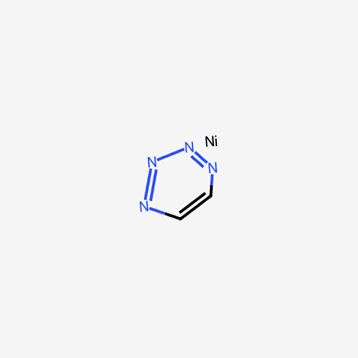 [Ni].c1cnnnn1